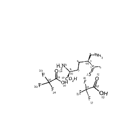 CS(=S)[C@H](CN)CC[C@H](N)C(=O)O.O=C(O)C(F)(F)F.O=C(O)C(F)(F)F